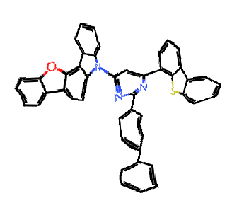 c1ccc(-c2ccc(-c3nc(-c4cccc5c4sc4ccccc45)cc(-n4c5ccccc5c5c6oc7ccccc7c6ccc54)n3)cc2)cc1